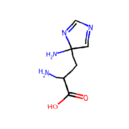 NC(CC1(N)C=NC=N1)C(=O)O